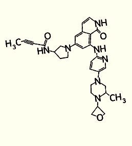 CC#CC(=O)NC1CCN(c2cc(Nc3ccc(N4CCN(C5COC5)C(C)C4)cn3)c3c(=O)[nH]ccc3c2)C1